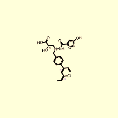 C=C/C(=C\C(Cl)=C/C)c1ccc(CN(C[C@@H](O)C(=O)O)NC(=O)c2cc(O)no2)cc1